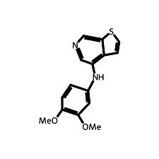 COc1ccc(Nc2cncc3sccc23)cc1OC